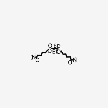 CCC(CC)(C(=O)OCCCCCC(=O)N(C)C)C(=O)OCCCCCC(=O)N(C)C